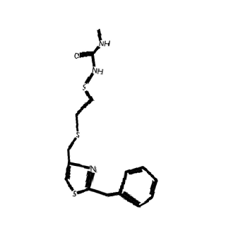 CNC(=O)NSCCSCc1csc(Cc2ccccc2)n1